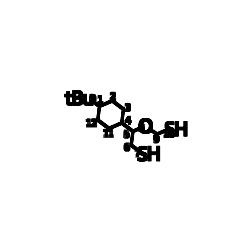 CC(C)(C)C1CCC(C(CS)OCS)CC1